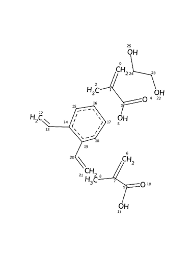 C=C(C)C(=O)O.C=C(C)C(=O)O.C=Cc1ccccc1C=C.OCCO